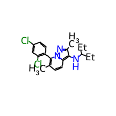 CCC(CC)Nc1c(C)nn2c(-c3ccc(Cl)cc3Cl)c(C)ccc12